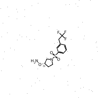 NO[C@H]1CCN(S(=O)(=O)c2cccc(CC(F)(F)F)c2)C1